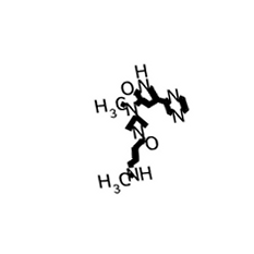 CNCC=CC(=O)N1CC(N(C)c2cc(-c3cnccn3)c[nH]c2=O)C1